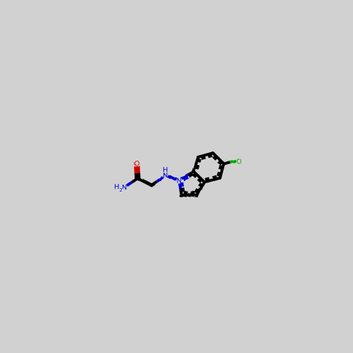 NC(=O)CNn1ccc2cc(Cl)ccc21